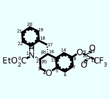 CCOC(=O)N[C@H]1COc2ccc(OS(=O)(=O)C(F)(F)F)cc2[C@H]1Cc1ccccc1